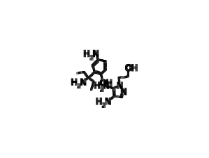 CCC(N)(CC)c1cc(N)ccc1O.Nc1cnn(CCO)c1N